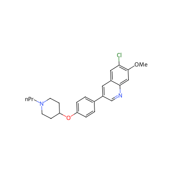 CCCN1CCC(Oc2ccc(-c3cnc4cc(OC)c(Cl)cc4c3)cc2)CC1